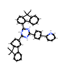 CC1(C)c2ccccc2-c2cc(-c3nc(-c4ccc(-c5ccccn5)cc4)nc(-c4cccc5c4-c4ccccc4C5(C)C)n3)ccc21